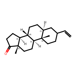 C=CC1CC[C@@]2(C)[C@@H](CC[C@@H]3[C@@H]2CC[C@]2(C)C(=O)CC[C@@H]32)C1